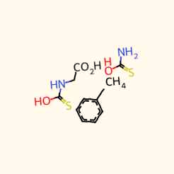 C.Cc1ccccc1.NC(O)=S.O=C(O)CNC(O)=S